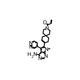 C=CC(=O)N1CCC2(CC=C(c3c(-c4ccnnc4)c4c(N)ncnc4n3C)CC2)CC1